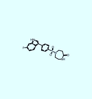 O=C1CCN(S(=O)(=O)c2ccc(-c3c[nH]c4cc(F)ccc34)cc2)CCN1